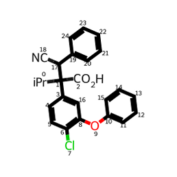 CC(C)C(C(=O)O)(c1ccc(Cl)c(Oc2ccccc2)c1)C(C#N)c1ccccc1